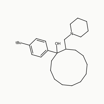 CC(C)(C)c1ccc(C2(O)CCCCCCCCCCC2CN2CCCCC2)cc1